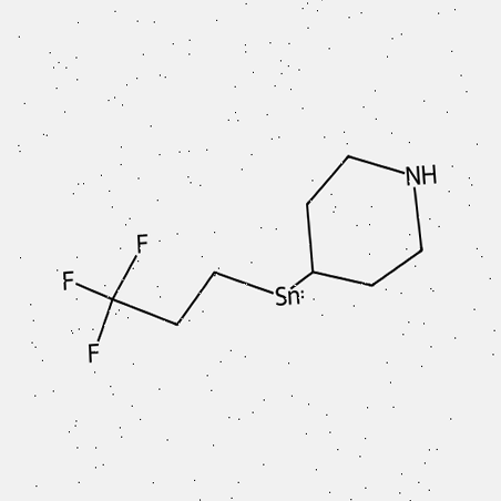 FC(F)(F)C[CH2][Sn][CH]1CCNCC1